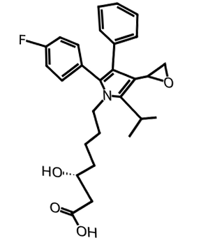 CC(C)c1c(C2CO2)c(-c2ccccc2)c(-c2ccc(F)cc2)n1CCCC[C@@H](O)CC(=O)O